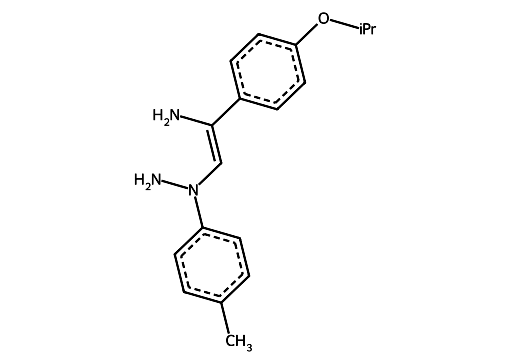 Cc1ccc(N(N)/C=C(\N)c2ccc(OC(C)C)cc2)cc1